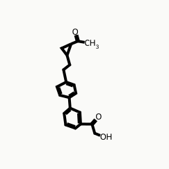 CC(=O)C1CC1CCc1ccc(-c2cccc(C(=O)CO)c2)cc1